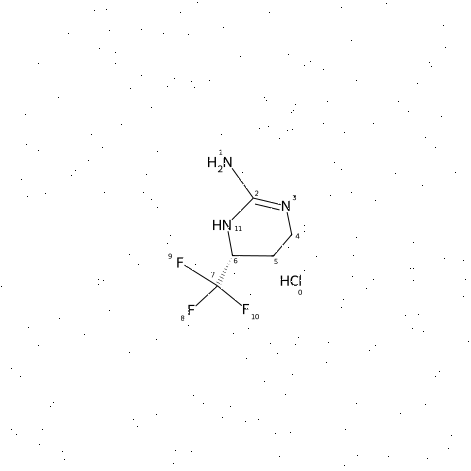 Cl.NC1=NCC[C@H](C(F)(F)F)N1